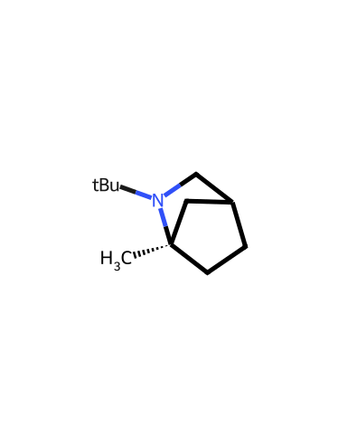 CC(C)(C)N1CC2CC[C@]1(C)C2